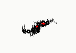 CC1(C)CCC(CN2CCN(c3cccc(C(=O)NS(=O)(=O)c4ccc(N[C@H]5CC[C@H](C6CNCCO6)CC5)c([N+](=O)[O-])c4)c3Oc3cnc4[nH]ccc4c3)CC2)=C(c2ccc(Cl)cc2)C1